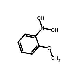 COc1ccccc1N(O)O